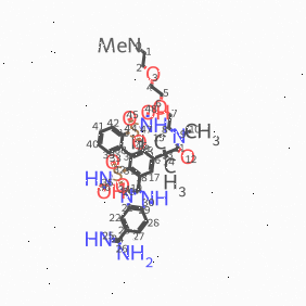 CNCCOCCOCCN(C)C(=O)C(C)(C)c1cc(-c2nc3cc(C(=N)N)ccc3[nH]2)c(S(=O)(=O)NO)c(-c2ccccc2S(=O)(=O)NO)c1